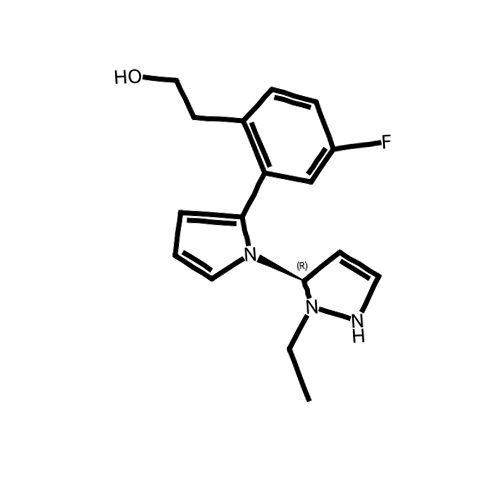 CCN1NC=C[C@@H]1n1cccc1-c1cc(F)ccc1CCO